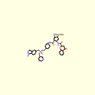 COc1cc(NC(=O)c2cc(=O)c3ccccc3o2)c(C(=O)Nc2ccc(CC[N+]([O-])(Cc3cccnc3)Cc3ccc4c(cnn4C)c3)cc2)cc1OC